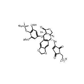 COc1cc([C@@H]2c3cc4c(cc3[C@@H](NC3=CC(=O)N(CC(=O)O)C3=O)[C@H]3COC(=O)[C@H]23)OCO4)cc(OC)c1O[Si](C)(C)C(C)(C)C